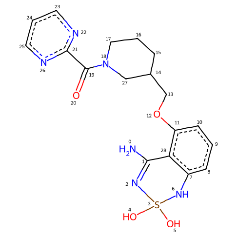 NC1=NS(O)(O)Nc2cccc(OCC3CCCN(C(=O)c4ncccn4)C3)c21